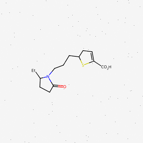 CCC1CCC(=O)N1CCCC1CC=C(C(=O)O)S1